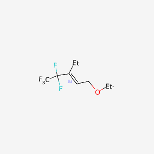 C[CH]OC/C=C(\CC)C(F)(F)C(F)(F)F